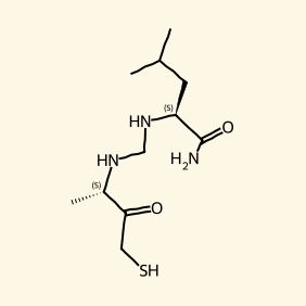 CC(C)C[C@H](NCN[C@@H](C)C(=O)CS)C(N)=O